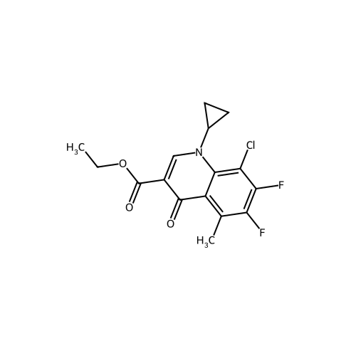 CCOC(=O)c1cn(C2CC2)c2c(Cl)c(F)c(F)c(C)c2c1=O